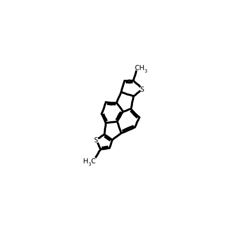 CC1=CC2c3ccc4c5c(ccc(c35)C2S1)-c1cc(C)sc1-4